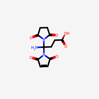 NC(CCC(=O)O)(N1C(=O)C=CC1=O)N1C(=O)CCC1=O